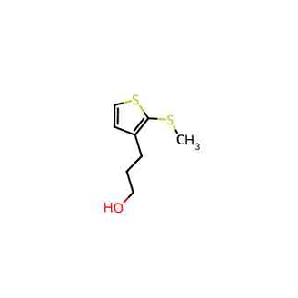 CSc1sccc1CCCO